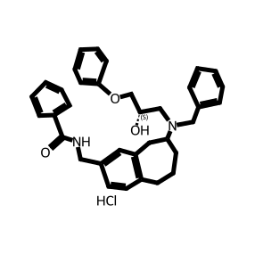 Cl.O=C(NCc1ccc2c(c1)CC(N(Cc1ccccc1)C[C@H](O)COc1ccccc1)CCC2)c1ccccc1